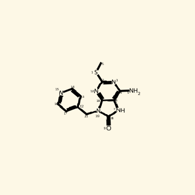 CSc1nc(N)c2[nH]c(=O)n(Cc3ccncc3)c2n1